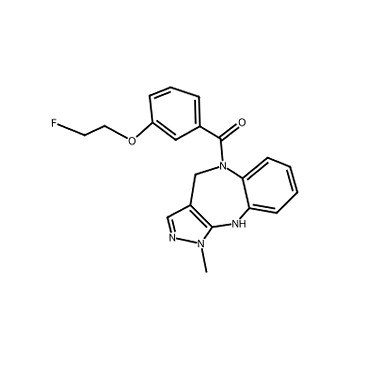 Cn1ncc2c1Nc1ccccc1N(C(=O)c1cccc(OCCF)c1)C2